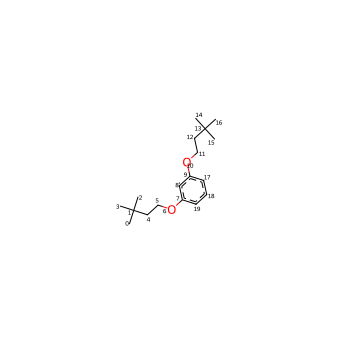 CC(C)(C)CCOc1[c]c(OCCC(C)(C)C)ccc1